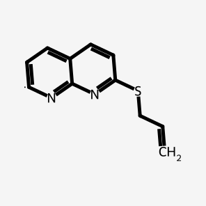 C=CCSc1ccc2cc[c]nc2n1